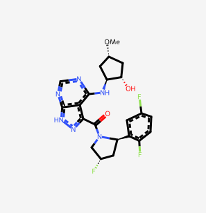 CO[C@H]1C[C@H](Nc2ncnc3[nH]nc(C(=O)N4C[C@@H](F)C[C@@H]4c4cc(F)ccc4F)c23)[C@@H](O)C1